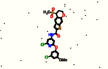 COc1cc(Cl)cc(Oc2cc(NC(=O)c3cc4cc5c(cc4s3)OCC[C@@H]5S(C)(=O)=O)cc(Cl)n2)c1